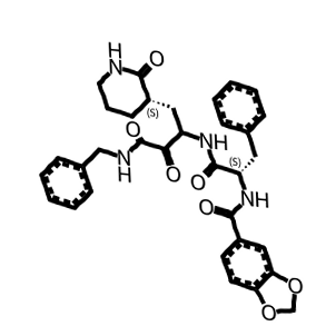 O=C(NCc1ccccc1)C(=O)C(C[C@@H]1CCCNC1=O)NC(=O)[C@H](Cc1ccccc1)NC(=O)c1ccc2c(c1)OCO2